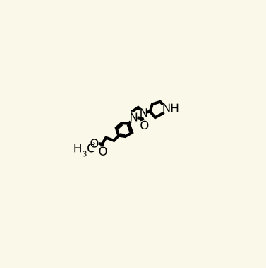 COC(=O)CCc1ccc(N2CCN(C3CCNCC3)C2=O)cc1